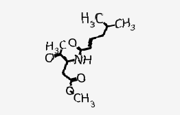 COC(=O)CC(NC(=O)C=CCC(C)C)C(C)=O